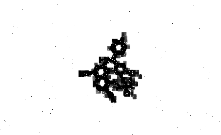 CN1C=C(C(Nc2cc(C#N)c3ncc(C#N)c(NCC(C)(C)C)c3c2)c2ccc(F)nc2)NN1